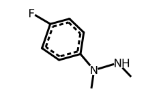 CNN(C)c1ccc(F)cc1